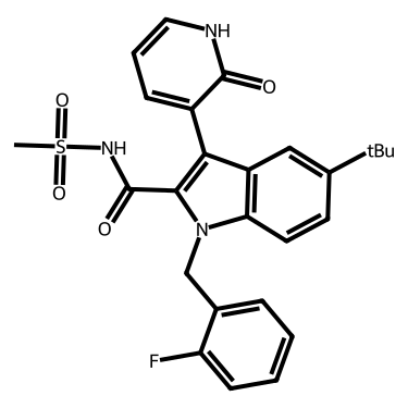 CC(C)(C)c1ccc2c(c1)c(-c1ccc[nH]c1=O)c(C(=O)NS(C)(=O)=O)n2Cc1ccccc1F